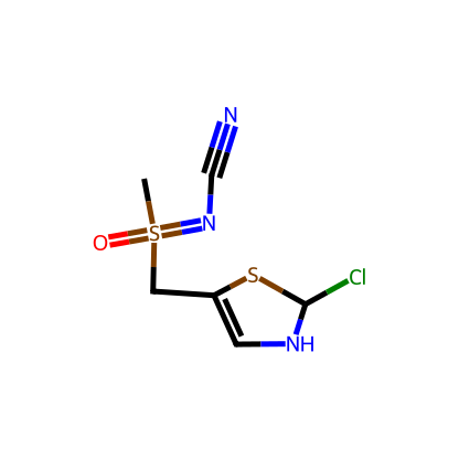 CS(=O)(CC1=CNC(Cl)S1)=NC#N